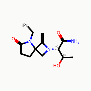 C=C1N([C@H](C(N)=O)[C@@H](C)O)CC12CCC(=O)N2CC(C)C